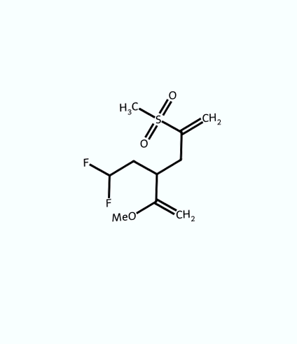 C=C(OC)C(CC(=C)S(C)(=O)=O)CC(F)F